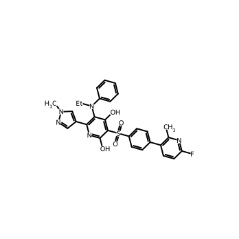 CCN(c1ccccc1)c1c(-c2cnn(C)c2)nc(O)c(S(=O)(=O)c2ccc(-c3ccc(F)nc3C)cc2)c1O